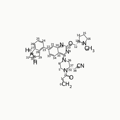 C=CC(=O)N1CCN(c2nc(OC[C@@H]3CCCN3C)nc3cc(-c4cccc5c4C[C@H]4C[C@@H]54)ccc23)C[C@@H]1CC#N